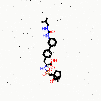 CC(C)CNC(=O)Nc1cccc(-c2ccc(C[C@H](NS(=O)(=O)CC34CCC(CC3=O)C4(C)C)C(=O)O)cc2)c1